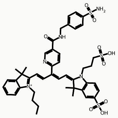 CCCC[N+]1=C(/C=C/C(=C/C=C2/N(CCCS(=O)(=O)O)c3ccc(S(=O)(=O)O)cc3C2(C)C)c2ccc(C(=O)NCc3ccc(S(N)(=O)=O)cc3)cn2)C(C)(C)c2ccccc21